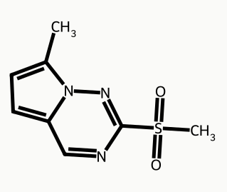 Cc1ccc2cnc(S(C)(=O)=O)nn12